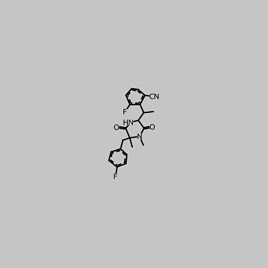 CC(c1c(F)cccc1C#N)C1NC(=O)C(C)(Cc2ccc(F)cc2)N(C)C1=O